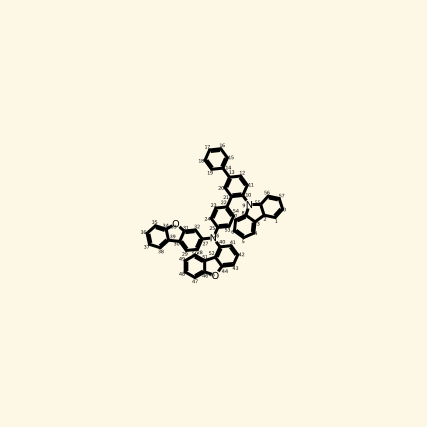 C1=CC2c3ccccc3N(c3ccc(-c4ccccc4)cc3-c3ccc(N(c4ccc5c(c4)oc4ccccc45)c4cccc5oc6ccccc6c45)cc3)C2C=C1